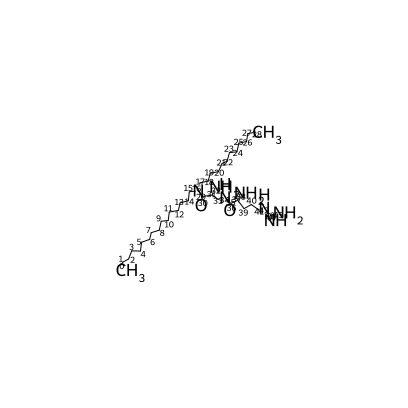 CCCCCCCCCCCCCCCCN(CCCCCCCCCCCC)C(=O)C(N)CNC(=O)C(N)CCCNC(=N)N